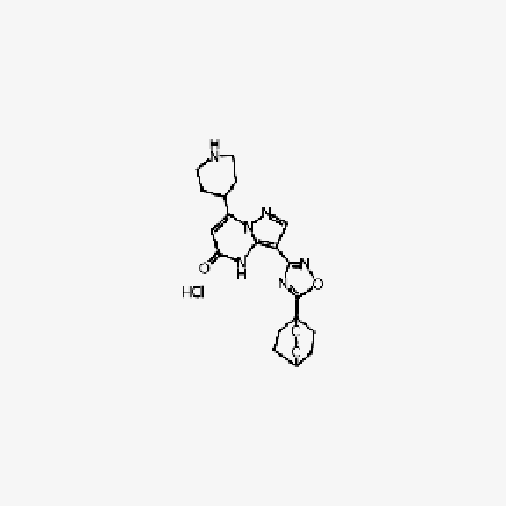 Cl.O=c1cc(C2CCNCC2)n2ncc(-c3noc(C45CCC(CC4)CC5)n3)c2[nH]1